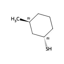 C[C@H]1CCC[C@H](S)C1